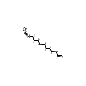 C=CCCCCCCCCCN=C=O